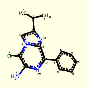 CC(C)c1cn2c(Cl)c(N)nc(-c3ccccc3)c2n1